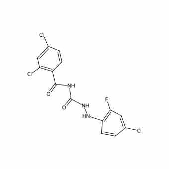 O=C(NNc1ccc(Cl)cc1F)NC(=O)c1ccc(Cl)cc1Cl